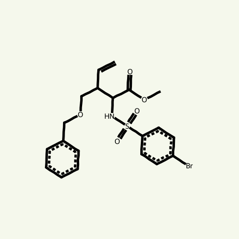 C=CC(COCc1ccccc1)C(NS(=O)(=O)c1ccc(Br)cc1)C(=O)OC